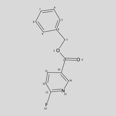 O=C(OCc1ccccc1)c1ccc(F)nc1